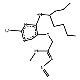 C=N/N=C(/COc1cnc(N)nc1NC(CCC)CCCC)NC